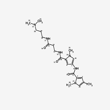 Cc1cc(C(=O)Nc2cc(C(=O)NCCC(=O)NCCCN(C)C)n(C)c2)n(C)c1